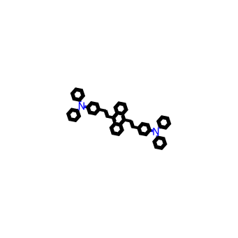 C(=C\c1c2ccccc2c(/C=C/c2ccc(N(c3ccccc3)c3ccccc3)cc2)c2ccccc12)/c1ccc(N(c2ccccc2)c2ccccc2)cc1